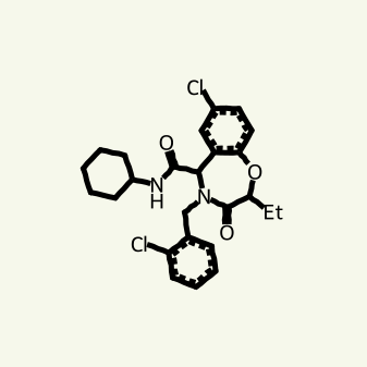 CCC1Oc2ccc(Cl)cc2C(C(=O)NC2CCCCC2)N(Cc2ccccc2Cl)C1=O